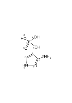 Nc1cc[nH]n1.O=P(O)(O)O